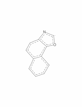 [c]1nc2ccc3ccccc3c2o1